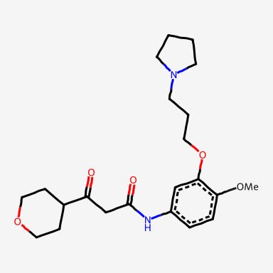 COc1ccc(NC(=O)CC(=O)C2CCOCC2)cc1OCCCN1CCCC1